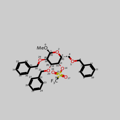 CO[C@H]1O[C@H](COCc2ccccc2)[C@H](OS(=O)(=O)C(F)(F)F)[C@H](OCc2ccccc2)[C@H]1OCc1ccccc1